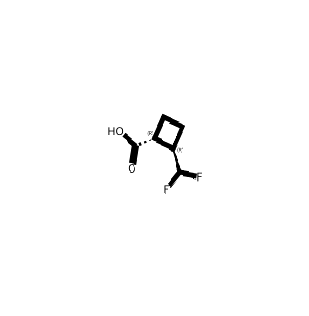 O=C(O)[C@@H]1CC[C@H]1C(F)F